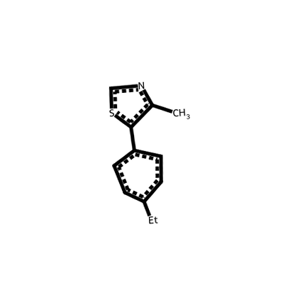 CCc1ccc(-c2scnc2C)cc1